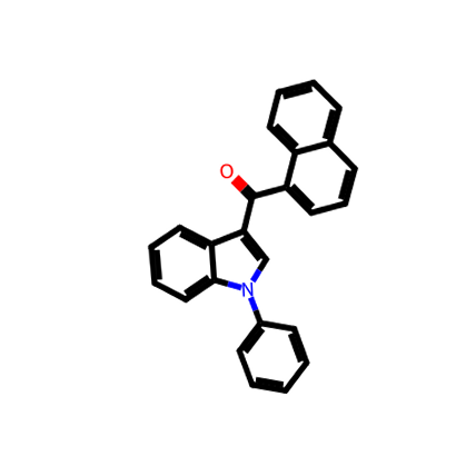 O=C(c1cccc2ccccc12)c1cn(-c2ccccc2)c2ccccc12